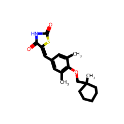 Cc1cc(/C=C2\SC(=O)NC2=O)cc(C)c1OCC1(C)CCCCC1